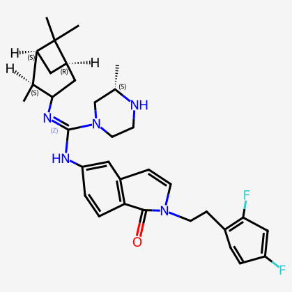 C[C@@H]1C(/N=C(/Nc2ccc3c(=O)n(CCc4ccc(F)cc4F)ccc3c2)N2CCN[C@@H](C)C2)C[C@H]2C[C@@H]1C2(C)C